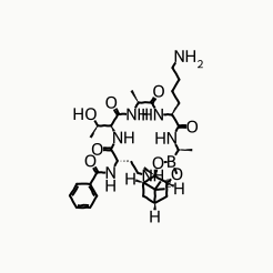 C[C@H](NC(=O)[C@H](CCCCN)NC(=O)[C@H](C)NC(=O)[C@@H](NC(=O)[C@H](CCN)NC(=O)c1ccccc1)[C@@H](C)O)B1O[C@@H]2C[C@@H]3C[C@@H](C3(C)C)[C@]2(C)O1